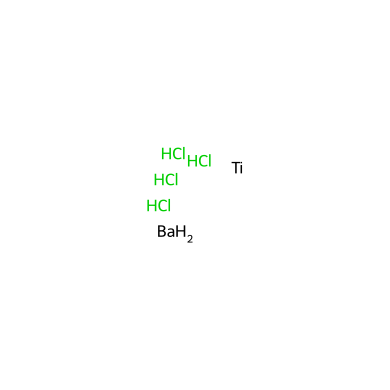 Cl.Cl.Cl.Cl.[BaH2].[Ti]